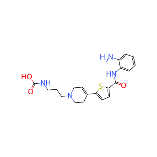 Nc1ccccc1NC(=O)c1ccc(C2=CCN(CCCNC(=O)O)CC2)s1